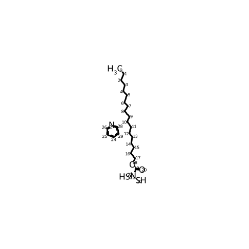 CCCCCCCCCCCCCCCCCCOC(=O)N(S)S.c1ccncc1